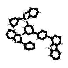 c1ccc(-c2nc3ccccc3n2-c2cc(-c3ccc(-c4cccc5c4oc4ccccc45)cc3)cc(-n3c(-c4ccccc4)nc4ccccc43)c2)cc1